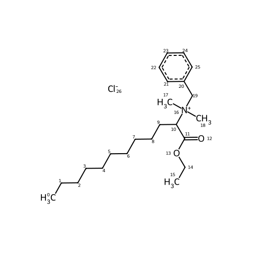 CCCCCCCCCCC(C(=O)OCC)[N+](C)(C)Cc1ccccc1.[Cl-]